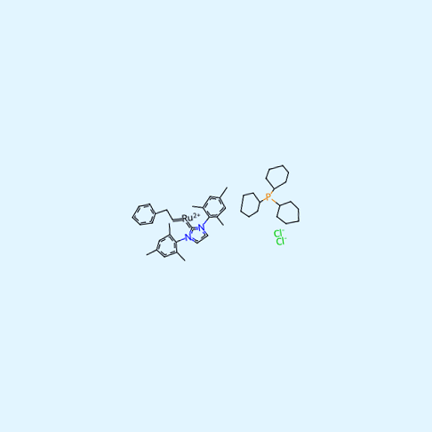 C1CCC(P(C2CCCCC2)C2CCCCC2)CC1.Cc1cc(C)c(-n2ccn(-c3c(C)cc(C)cc3C)[c]2=[Ru+2]=[CH]Cc2ccccc2)c(C)c1.[Cl-].[Cl-]